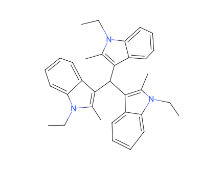 CCn1c(C)c(C(c2c(C)n(CC)c3ccccc23)c2c(C)n(CC)c3ccccc23)c2ccccc21